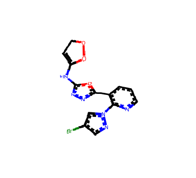 Brc1cnn(-c2ncccc2-c2nnc(NC3=CCOO3)o2)c1